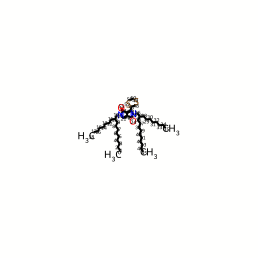 CCCCCCCCCCC(CCCCCCCC)CN1C=C2C(=O)N(CC(CCCCCCCC)CCCCCCCCCC)C(C3CSCCS3)=C2C1=O